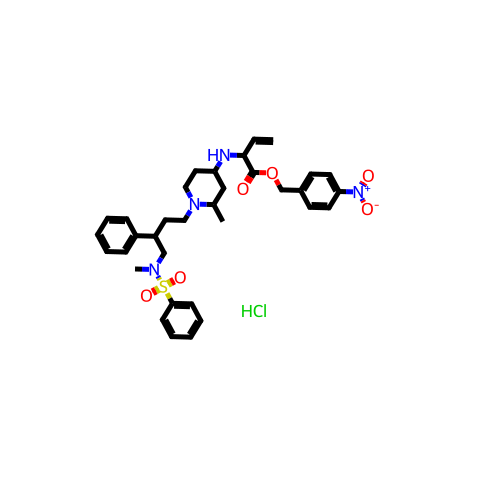 C=CC(NC1CCN(CCC(CN(C)S(=O)(=O)c2ccccc2)c2ccccc2)C(C)C1)C(=O)OCc1ccc([N+](=O)[O-])cc1.Cl